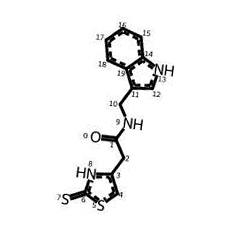 O=C(Cc1csc(=S)[nH]1)NCc1c[nH]c2ccccc12